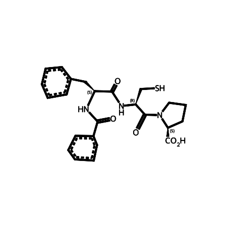 O=C(N[C@@H](Cc1ccccc1)C(=O)N[C@@H](CS)C(=O)N1CCC[C@H]1C(=O)O)c1ccccc1